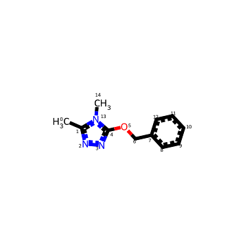 Cc1nnc(OCc2ccccc2)n1C